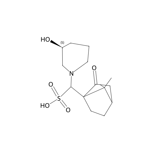 CC1(C)C2CCC1(C(N1CCC[C@H](O)C1)S(=O)(=O)O)C(=O)C2